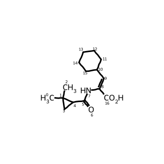 CC1(C)CC1C(=O)NC(=CC1CCCCC1)C(=O)O